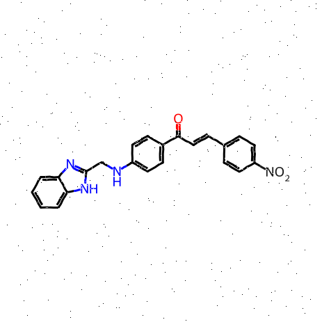 O=C(/C=C/c1ccc([N+](=O)[O-])cc1)c1ccc(NCc2nc3ccccc3[nH]2)cc1